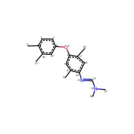 Cc1ccc(Oc2cc(C)c(N=CN(C)C)cc2C)cc1C